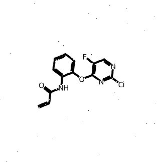 C=CC(=O)Nc1ccccc1Oc1nc(Cl)ncc1F